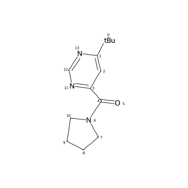 CC(C)(C)c1cc(C(=O)N2CCCC2)ncn1